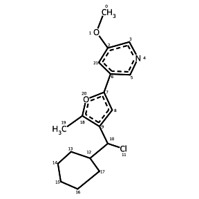 COc1cncc(-c2cc(C(Cl)C3CCCCC3)c(C)o2)c1